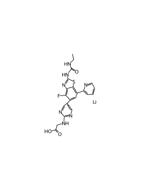 CCNC(=O)Nc1nc2c(F)c(-c3cnc(NCC(=O)O)nc3)cc(-c3ccccn3)c2s1.[Li]